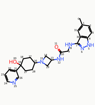 Cc1ccc2[nH]nc(NCC(=O)NC3CN(C4CCC(O)(c5cccnc5)CC4)C3)c2c1